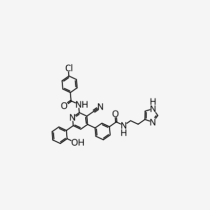 N#Cc1c(-c2cccc(C(=O)NCCc3c[nH]cn3)c2)cc(-c2ccccc2O)nc1NC(=O)c1ccc(Cl)cc1